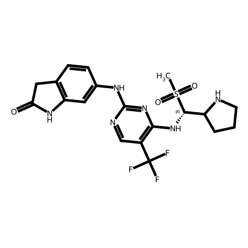 CS(=O)(=O)[C@@H](Nc1nc(Nc2ccc3c(c2)NC(=O)C3)ncc1C(F)(F)F)C1CCCN1